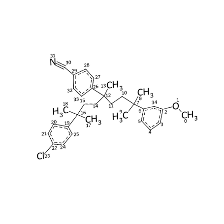 COc1cccc(C(C)(C)CCC(C)(CCC(C)(C)c2ccc(Cl)cc2)c2ccc(C#N)cc2)c1